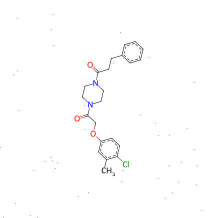 Cc1cc(OCC(=O)N2CCN(C(=O)CCc3ccccc3)CC2)ccc1Cl